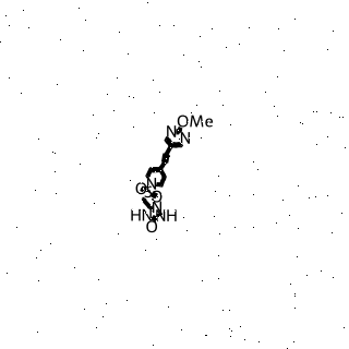 COc1ncc(C#CC2=CCN(S(=O)(=O)Cc3n[nH]c(=O)[nH]3)CC2)cn1